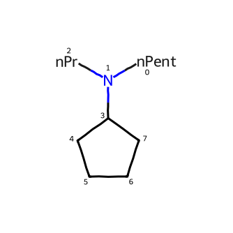 CCCCCN(CCC)C1CCCC1